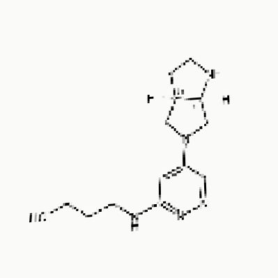 OCCCNc1cc(N2C[C@H]3CCN[C@H]3C2)cnn1